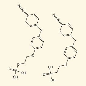 [N-]=[N+]=C1C=CC(Sc2ccc(OCCOP(=O)(O)O)cc2)=CC1.[N-]=[N+]=C1C=CC(Sc2ccc(OCCP(=O)(O)O)cc2)=CC1